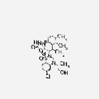 Cc1ccc(F)c([C@@H](C)[C@@H](c2n[nH]c(=O)o2)N2CN([C@H](C)CO)c3cc(Cl)ccc3S2(=O)=O)c1C